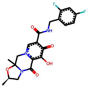 C[C@@H]1CN2C(=O)c3c(O)c(=O)c(C(=O)NCc4ccc(F)cc4F)cn3CC2(C)O1